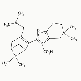 CN(C)CC1=C(c2sc3c(c2C(=O)O)CC(C)(C)CC3)C2CC(C1)C2(C)C